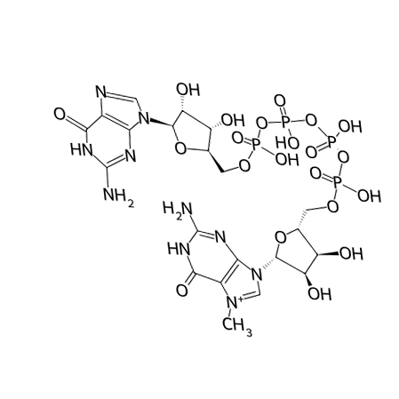 C[n+]1cn([C@@H]2O[C@H](COP(=O)(O)OP(=O)(O)OP(=O)(O)OP(=O)(O)OC[C@H]3O[C@@H](n4cnc5c(=O)[nH]c(N)nc54)[C@H](O)[C@@H]3O)[C@@H](O)[C@H]2O)c2nc(N)[nH]c(=O)c21